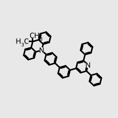 CC1(C)c2ccccc2N(c2ccc(-c3cccc(-c4cc(-c5ccccc5)nc(-c5ccccc5)c4)c3)cc2)c2ccccc21